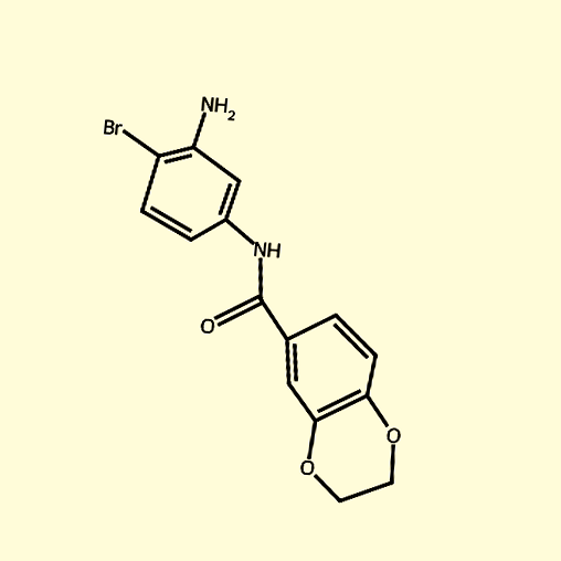 Nc1cc(NC(=O)c2ccc3c(c2)OCCO3)ccc1Br